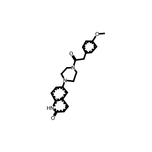 COc1ccc(CC(=O)N2CCN(c3ccc4[nH]c(=O)ccc4c3)CC2)cc1